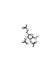 COC1O[C@H](COC(C)=O)[C@@H](OC(C)=O)[C@H]1OC(C)=O